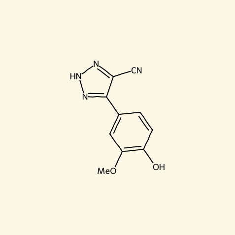 COc1cc(-c2n[nH]nc2C#N)ccc1O